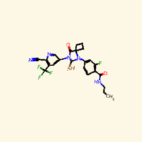 CCCNC(=O)c1ccc(N2C(S)N(c3cnc(C#N)c(C(F)(F)F)c3)C(=O)C23CCC3)cc1F